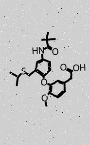 COc1ccc(CC(=O)O)cc1Oc1ccc(NC(=O)C(C)(C)C)cc1CSC(C)C